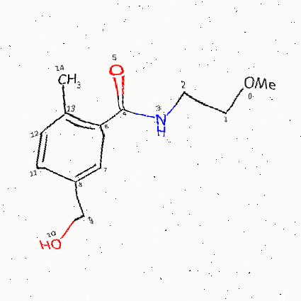 COCCNC(=O)c1cc(CO)ccc1C